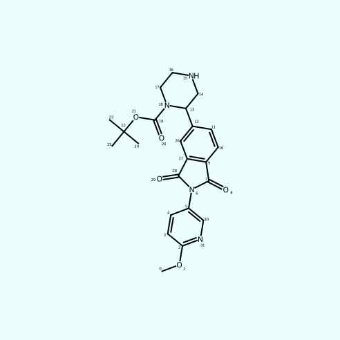 COc1ccc(N2C(=O)c3ccc(C4CNCCN4C(=O)OC(C)(C)C)cc3C2=O)cn1